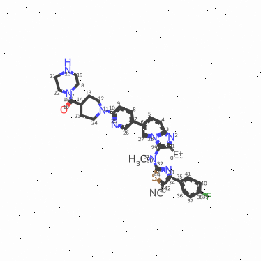 CCc1nc2ccc(-c3ccc(N4CCC(C(=O)N5CCNCC5)CC4)nc3)cn2c1N(C)c1nc(-c2ccc(F)cc2)c(C#N)s1